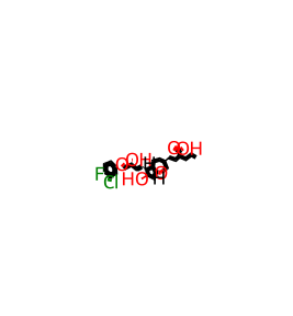 CCCC(CC[C@@H]1CC[C@@H]2[C@@H](C=C[C@@H](O)COc3ccc(F)c(Cl)c3)[C@H](O)C[C@@H]2OC1)C(=O)O